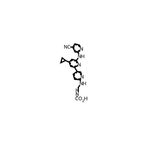 N#Cc1ccnc(Nc2cc(C3CC3)cc(-c3ccc(NCCNC(=O)O)nc3)n2)c1